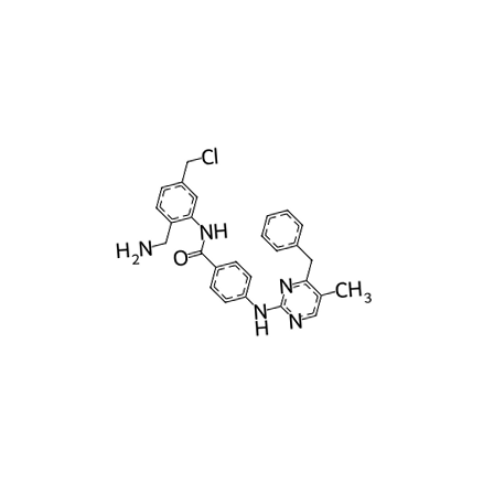 Cc1cnc(Nc2ccc(C(=O)Nc3cc(CCl)ccc3CN)cc2)nc1Cc1ccccc1